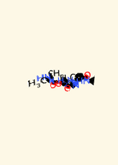 Cc1ccc(C(=O)NC2CC2)cc1-n1ncc(C(=O)c2cccc(OCC(=O)N3CC(C)NC(C)C3)c2)c1N